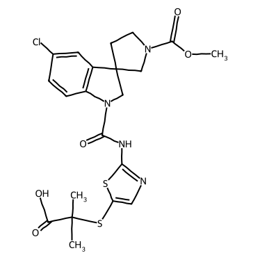 COC(=O)N1CCC2(C1)CN(C(=O)Nc1ncc(SC(C)(C)C(=O)O)s1)c1ccc(Cl)cc12